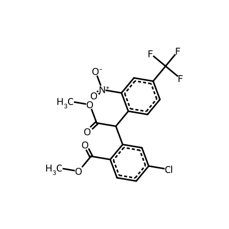 COC(=O)c1ccc(Cl)cc1C(C(=O)OC)c1ccc(C(F)(F)F)cc1[N+](=O)[O-]